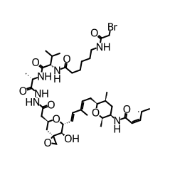 C[CH]/C=C\C(=O)N[C@@H]1C[C@H](C)[C@H](C/C=C(C)/C=C/[C@H]2O[C@H](CC(=O)NNC(=O)[C@H](C)NC(=O)[C@@H](NC(=O)CCCCCNC(=O)CBr)C(C)C)C[C@@]3(CO3)[C@@H]2O)O[C@@H]1C